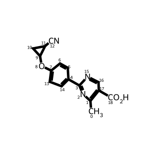 Cc1nc(-c2ccc(OC3CC3C#N)cc2)ncc1C(=O)O